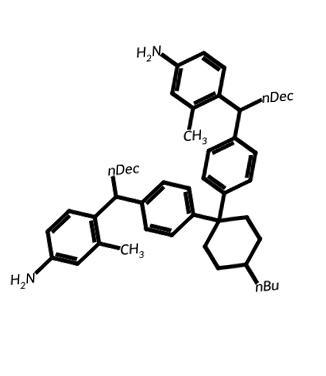 CCCCCCCCCCC(c1ccc(C2(c3ccc(C(CCCCCCCCCC)c4ccc(N)cc4C)cc3)CCC(CCCC)CC2)cc1)c1ccc(N)cc1C